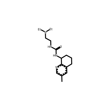 CCN(CC)CCNC(=S)NC1CCCc2cc(C)cnc21